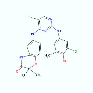 Cc1cc(Nc2ncc(F)c(Nc3ccc4c(c3)NC(=O)C(C)(C)O4)n2)cc(Cl)c1O